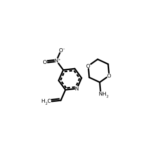 C=Cc1cc([N+](=O)[O-])ccn1.NC1COCCO1